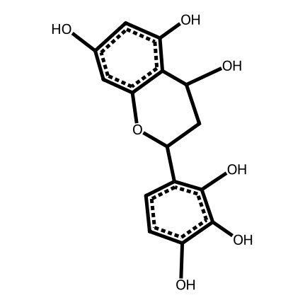 Oc1cc(O)c2c(c1)OC(c1ccc(O)c(O)c1O)CC2O